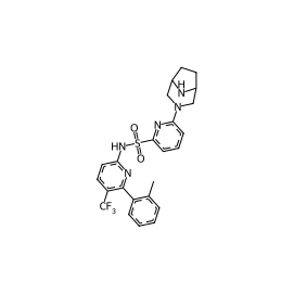 Cc1ccccc1-c1nc(NS(=O)(=O)c2cccc(N3CC4CCC(C3)N4)n2)ccc1C(F)(F)F